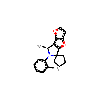 Cc1ccccc1N1[C@@H](C)c2c(oc3ccoc23)C12CCCC2